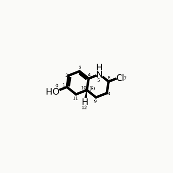 OC1=CC=C2NC(Cl)CC[C@@H]2C1